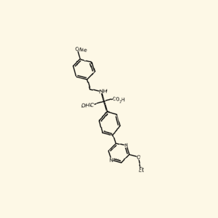 CCOc1cncc(-c2ccc(C(C=O)(NCc3ccc(OC)cc3)C(=O)O)cc2)n1